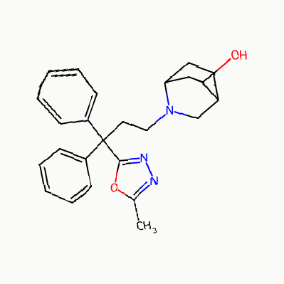 Cc1nnc(C(CCN2CC3CCC2CC3O)(c2ccccc2)c2ccccc2)o1